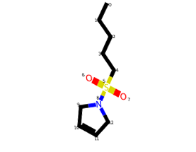 CCCCCS(=O)(=O)N1CC=CC1